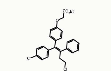 CCOC(=O)COc1ccc(/C(=C(/CCCl)c2ccccc2)c2ccc(Cl)cc2)cc1